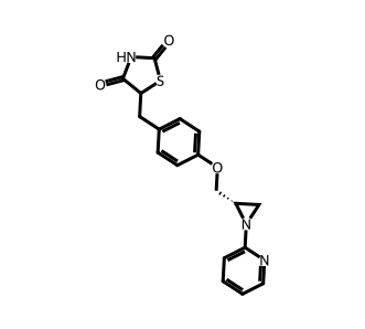 O=C1NC(=O)C(Cc2ccc(OC[C@@H]3CN3c3ccccn3)cc2)S1